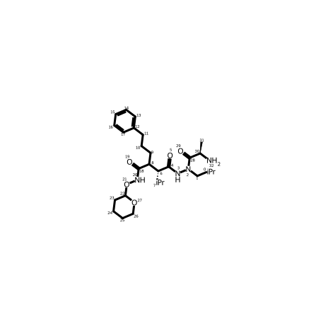 CC(C)CN(NC(=O)[C@H](C(C)C)C(CCCc1ccccc1)C(=O)NOC1CCCCO1)C(=O)[C@@H](C)N